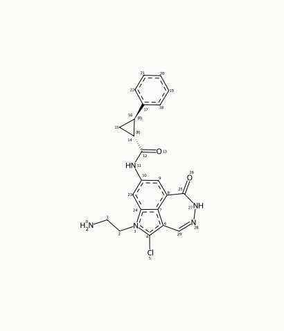 NCCn1c(Cl)c2c3c(cc(NC(=O)[C@@H]4C[C@H]4c4ccccc4)cc31)C(=O)NN=C2